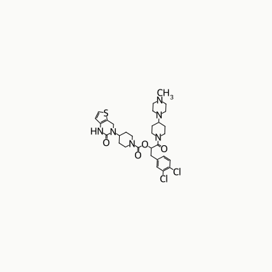 CN1CCN(C2CCN(C(=O)C(Cc3ccc(Cl)c(Cl)c3)OC(=O)N3CCC(N4Cc5sccc5NC4=O)CC3)CC2)CC1